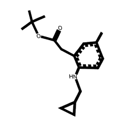 Cc1ccc(NCC2CC2)c(CC(=O)OC(C)(C)C)c1